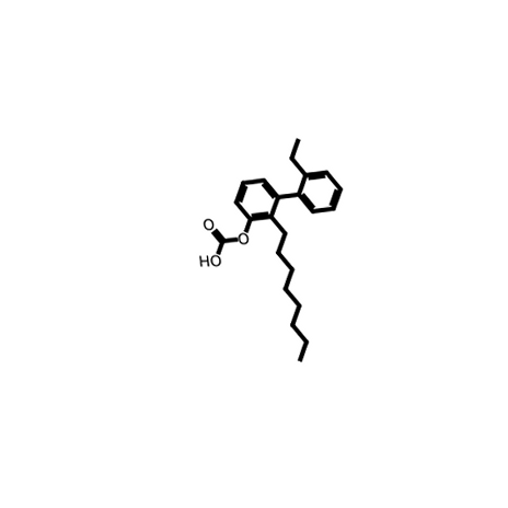 CCCCCCCCc1c(OC(=O)O)cccc1-c1ccccc1CC